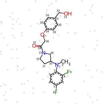 CN(c1ccc(F)cc1F)C1CCN(C(=O)COc2ccc(CO)cc2)C1